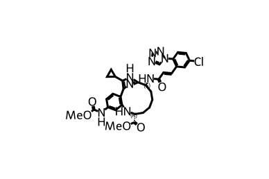 COC(=O)Nc1ccc2c(c1)N[C@@H](C(=O)OC)CCCC[C@H](NC(=O)C=Cc1cc(Cl)ccc1-n1cnnn1)c1nc-2c(C2CC2)[nH]1